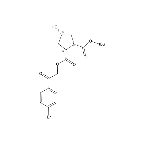 CC(C)(C)OC(=O)N1C[C@@H](O)C[C@H]1C(=O)OCC(=O)c1ccc(Br)cc1